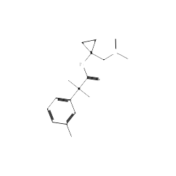 Cc1cccc(C(C)(C)C(=O)NC2(CN(C)C)CC2)c1